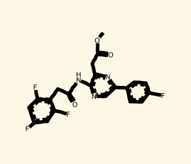 COC(=O)Cc1nc(-c2ccc(F)cc2)cnc1NC(=O)Cc1c(F)cc(F)cc1F